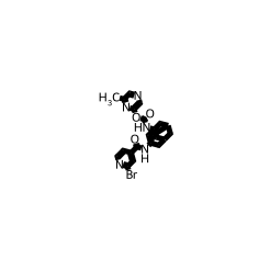 Cc1cncc(OC(=O)NC23CC4CC(C2)CC(NC(=O)c2ccnc(Br)c2)(C4)C3)n1